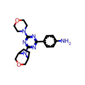 Nc1ccc(-c2nc(N3CCOCC3)nc(N3C4CCC3COC4)n2)cc1